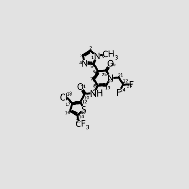 Cn1ccnc1-c1cc(NC(=O)c2sc(C(F)(F)F)cc2Cl)cn(CC(F)F)c1=O